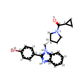 O=C(C1CC1)N1CC[C@H](Cn2c(-c3ccc(Br)cc3)nc3ccccc32)C1